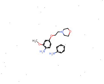 COc1cc(OCCN2CCOCC2)ccc1N.Nc1ccccc1